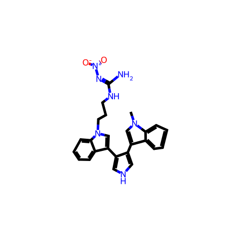 Cn1cc(-c2c[nH]cc2-c2cn(CCCNC(N)=N[N+](=O)[O-])c3ccccc23)c2ccccc21